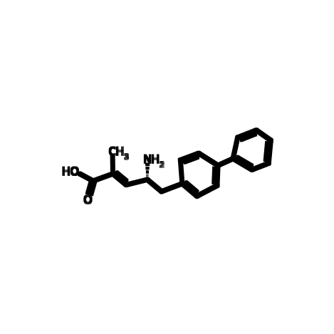 C/C(=C\[C@H](N)Cc1ccc(-c2ccccc2)cc1)C(=O)O